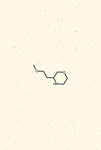 COCCC1COCCN1